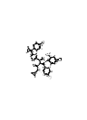 O=C(NC1CC1)c1c(-c2nnc(C3(c4ccc(Cl)cc4)CC3)s2)nn(-c2ccc(Cl)cc2Cl)c1-c1ccc(Cl)cc1